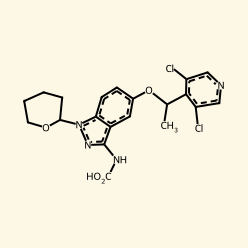 CC(Oc1ccc2c(c1)c(NC(=O)O)nn2C1CCCCO1)c1c(Cl)cncc1Cl